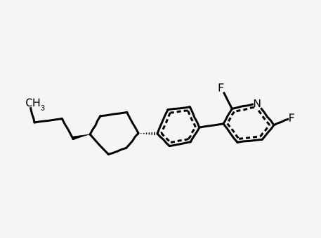 CCCC[C@H]1CC[C@H](c2ccc(-c3ccc(F)nc3F)cc2)CC1